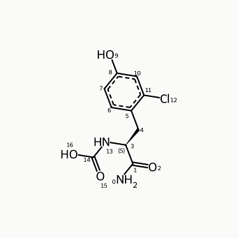 NC(=O)[C@H](Cc1ccc(O)cc1Cl)NC(=O)O